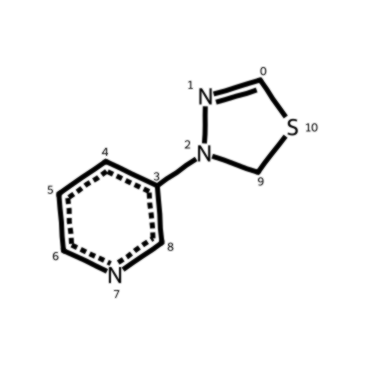 C1=NN(c2cccnc2)CS1